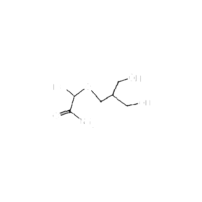 CC(OCC(CO)CO)C(N)=O